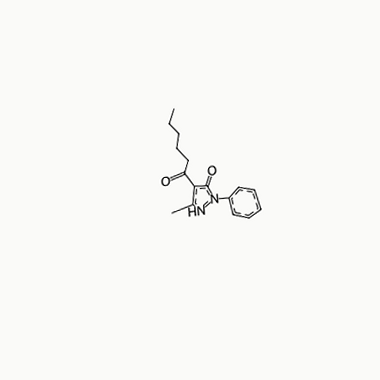 CCCCCC(=O)c1c(C)[nH]n(-c2ccccc2)c1=O